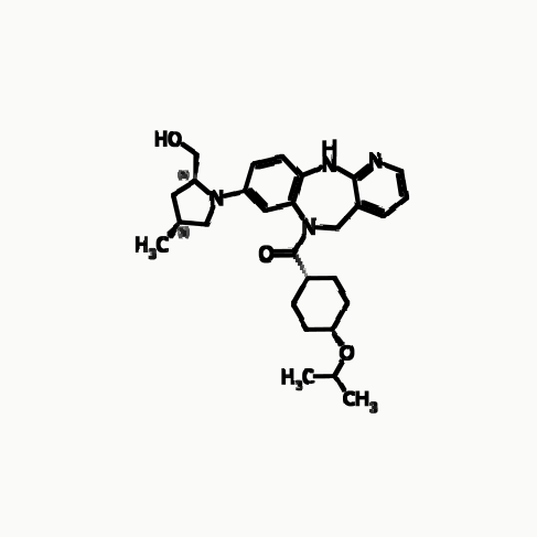 CC(C)O[C@H]1CC[C@H](C(=O)N2Cc3cccnc3Nc3ccc(N4C[C@@H](C)C[C@H]4CO)cc32)CC1